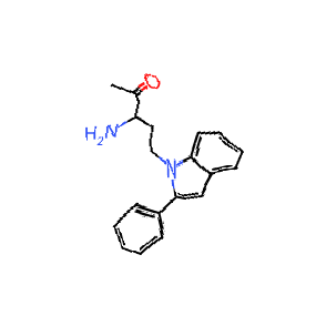 CC(=O)C(N)CCn1c(-c2ccccc2)cc2ccccc21